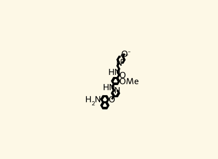 COc1cc(Nc2cc(Oc3ccc(N)c4ccccc34)ccn2)ccc1C(=O)NCCN1CC[S+]([O-])CC1